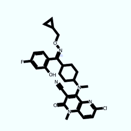 CN(c1c(C#N)c(=O)n(C)c2ccc(Cl)nc12)C1CCC(/C(=N/OCC2CC2)c2ccc(F)cc2O)CC1